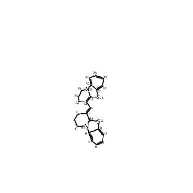 C(=C1CCCN2c3ccccc3SC12)C1=C2Sc3ccccc3N2CCC1